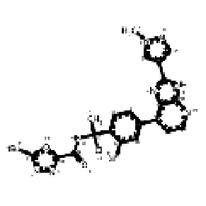 Cn1cc(-c2nc3c(-c4ccc(C(C)(C)NC(=O)c5nnc(C(C)(C)C)o5)c(F)c4)ccnc3[nH]2)cn1